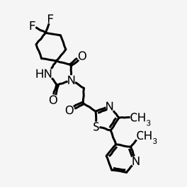 Cc1ncccc1-c1sc(C(=O)CN2C(=O)NC3(CCC(F)(F)CC3)C2=O)nc1C